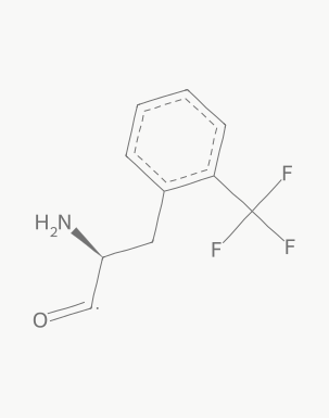 N[C@H]([C]=O)Cc1ccccc1C(F)(F)F